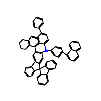 c1ccc(-c2ccc(N(c3ccc(-c4cccc5ccccc45)cc3)c3cc4c(cc3-c3cccc5c3CCCC5)-c3ccccc3C43c4ccccc4-c4ccccc43)cc2)cc1